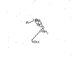 CCCCCCCC/C=C\CCCCCCCCOCC(CN)O[C@H]1CC[C@@]2(C)C(=CC[C@H]3[C@@H]4CC[C@H]([C@H](C)CCCC(C)C)[C@@]4(C)CC[C@@H]32)C1